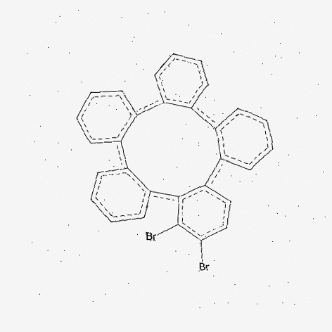 Brc1ccc2c3ccccc3c3ccccc3c3ccccc3c3ccccc3c2c1Br